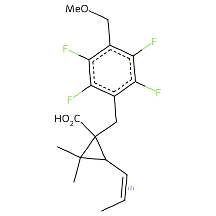 C/C=C\C1C(C)(C)C1(Cc1c(F)c(F)c(COC)c(F)c1F)C(=O)O